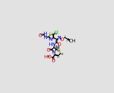 C#CCO/N=C(\C(=O)NC1C(=O)N2C(C(=O)O)=CCS[C@H]12)c1nc(NC=O)sc1Cl